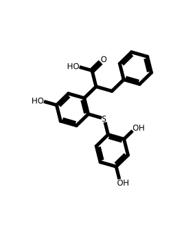 O=C(O)C(Cc1ccccc1)c1cc(O)ccc1Sc1ccc(O)cc1O